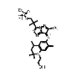 CCS(=O)(=O)NCC(C)(C)c1nnc2n1N=C(C(C)(C)C)/C2=N/c1cc2c(cc1C)N(CCO)C(C)(C)CC2C